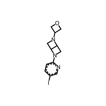 Ic1ccc(N2CC3C2CN3C2COC2)nc1